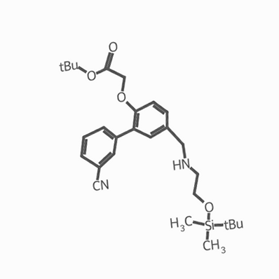 CC(C)(C)OC(=O)COc1ccc(CNCCO[Si](C)(C)C(C)(C)C)cc1-c1cccc(C#N)c1